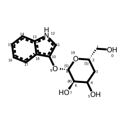 OC[C@@H]1CC(O)[C@@H](O)[C@H](Oc2c[nH]c3ccccc23)O1